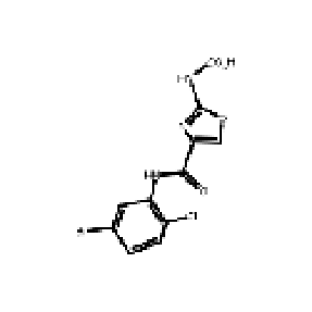 O=C(O)Nc1nc(C(=O)Nc2cc(Br)ccc2Cl)co1